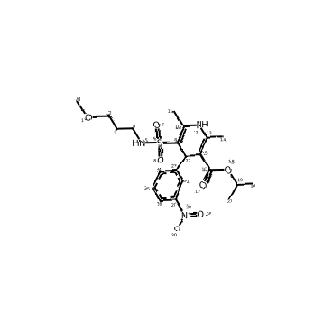 COCCCNS(=O)(=O)C1=C(C)NC(C)=C(C(=O)OC(C)C)C1c1cccc([N+](=O)[O-])c1